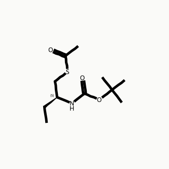 CC[C@@H](CSC(C)=O)NC(=O)OC(C)(C)C